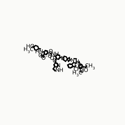 COc1ccc(CN2CCN(C3CC4(CCN(c5ccc(C(=O)NS(=O)(=O)c6ccc(NCC7CCC(C)(O)CC7)c([N+](=O)[O-])c6)c(Oc6cnc7[nH]ccc7c6)c5)CC4)C3)C(c3ccccc3C(C)C)C2)cc1C(C)=O